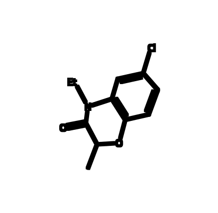 CCN1C(=O)C(C)Oc2ccc(Cl)cc21